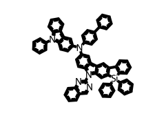 c1ccc(-c2ccc(N(c3ccc4c(c3)c3ccccc3n4-c3ccccc3)c3ccc4c(c3)c3cc5c(cc3n4-c3ncc4ccccc4n3)[Si](c3ccccc3)(c3ccccc3)c3ccccc3-5)cc2)cc1